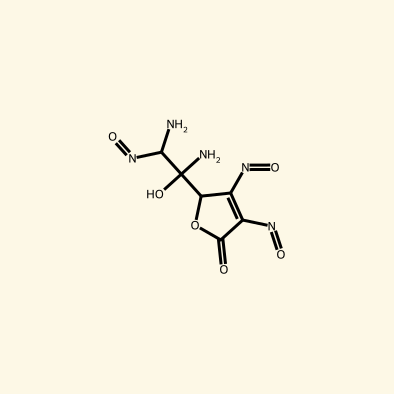 NC(N=O)C(N)(O)C1OC(=O)C(N=O)=C1N=O